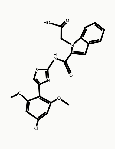 COc1cc(Cl)cc(OC)c1-c1csc(NC(=O)c2cc3ccccc3n2CC(=O)O)n1